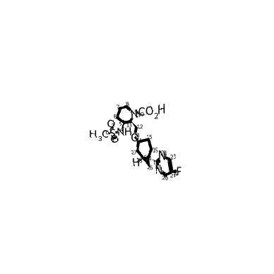 CS(=O)(=O)N[C@H]1CCCN(C(=O)O)[C@H]1CO[C@H]1CC[C@@]2(c3ncc(F)cn3)C[C@H]2C1